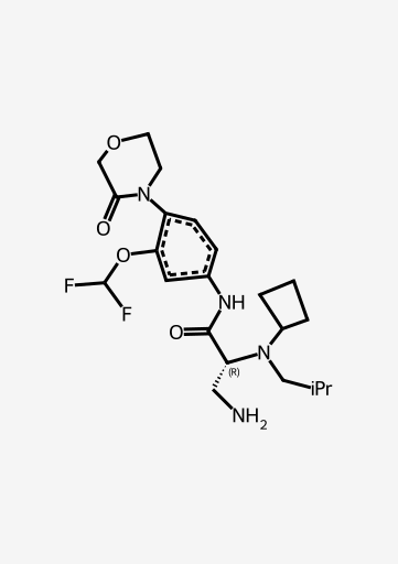 CC(C)CN(C1CCC1)[C@H](CN)C(=O)Nc1ccc(N2CCOCC2=O)c(OC(F)F)c1